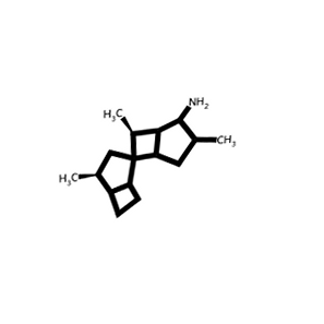 CC1CC2C(C1N)[C@H](C)C21C[C@H](C)C2CCC21